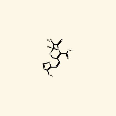 COC(=O)C1=C(/C=C\c2scnc2C)CS[C@@H]2C(N)C(=O)N12